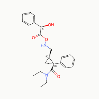 CCN(CC)C(=O)[C@@]1(c2ccccc2)C[C@H]1CNOC(=O)[C@H](O)c1ccccc1